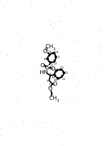 CCOC(=O)CC(NS(=O)(=O)c1cccc(OC)c1)c1ccccc1